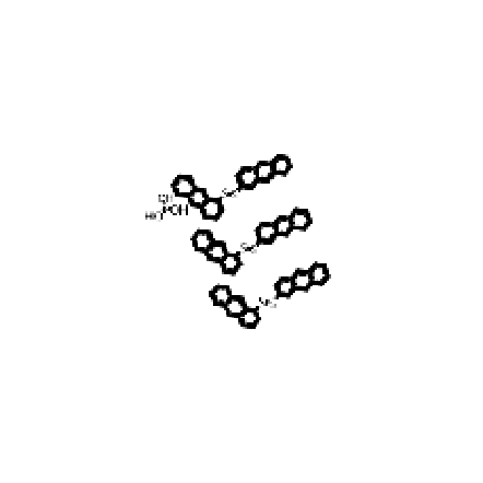 OB(O)O.c1ccc2cc3cc(SSc4cccc5cc6ccccc6cc45)ccc3cc2c1.c1ccc2cc3cc(SSc4cccc5cc6ccccc6cc45)ccc3cc2c1.c1ccc2cc3cc(SSc4cccc5cc6ccccc6cc45)ccc3cc2c1